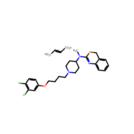 CN(C1=Nc2ccccc2CS1)C1CCN(CCCCOc2ccc(F)c(Cl)c2)CC1.O=C(O)/C=C/C(=O)O